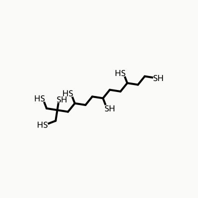 SCCC(S)CCC(S)CCC(S)CC(S)(CS)CS